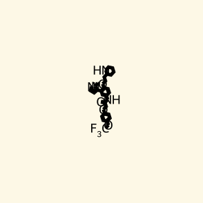 Cn1nccc1-c1cc(NC(=O)COc2ccc(OC(F)(F)F)cc2)ccc1OCCC1CCCCN1